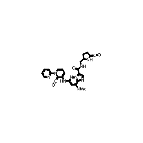 CNc1cc(NC2=CC=CN(c3ccccn3)C2=C=O)nn2c(C(=O)NCC3CCC(=C=O)N3)cnc12